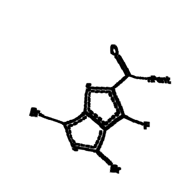 CCCCCC(=O)c1sc2c(Br)sc(Br)c2c1F